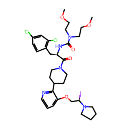 COCCN(CCOC)C(=O)N[C@H](Cc1ccc(Cl)cc1Cl)C(=O)N1CCC(c2ncccc2OC[C@@H](I)N2CCCC2)CC1